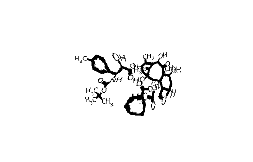 CC(=O)O[C@@]12CO[C@@H]1C[C@H](O)[C@@]1(C)C(=O)[C@H](O)C3=C(C)[C@@H](OC(=O)[C@H](O)[C@@H](NC(=O)OC(C)(C)C)c4ccc(C)cc4)C[C@@](O)([C@@H](OC(=O)c4ccccc4)[C@H]21)C3(C)C